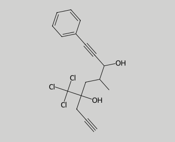 C#CCC(O)(CC(C)C(O)C#Cc1ccccc1)C(Cl)(Cl)Cl